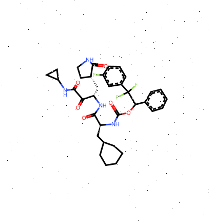 O=C(N[C@@H](CC1CCCCC1)C(=O)N[C@@H](C[C@@H]1CCNC1=O)C(=O)C(=O)NC1CC1)OC(c1ccccc1)C(F)(F)c1cccc(F)c1